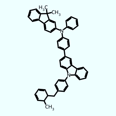 CC1C=CC=CC1Cc1ccc(-n2c3ccccc3c3cc(-c4ccc(N(c5ccccc5)c5ccc6c(c5)C(C)(C)c5ccccc5-6)cc4)ccc32)cc1